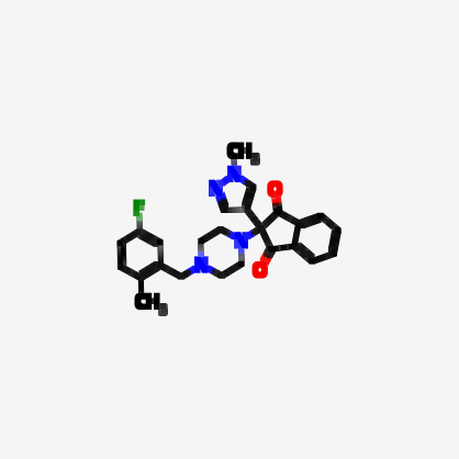 Cc1ccc(F)cc1CN1CCN(C2(c3cnn(C)c3)C(=O)c3ccccc3C2=O)CC1